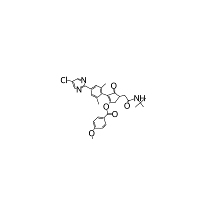 COc1ccc(C(=O)OC2=C(c3c(C)cc(-c4ncc(Cl)cn4)cc3C)C(=O)C(CC(=O)NC(C)(C)C)C2)cc1